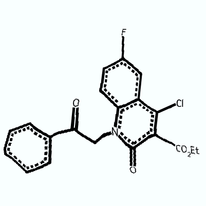 CCOC(=O)c1c(Cl)c2cc(F)ccc2n(CC(=O)c2ccccc2)c1=O